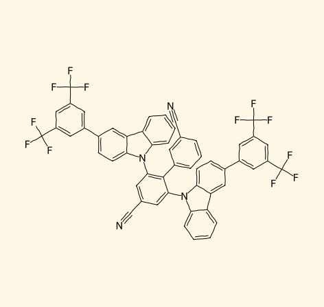 N#Cc1cccc(-c2c(-n3c4ccccc4c4cc(-c5cc(C(F)(F)F)cc(C(F)(F)F)c5)ccc43)cc(C#N)cc2-n2c3ccccc3c3cc(-c4cc(C(F)(F)F)cc(C(F)(F)F)c4)ccc32)c1